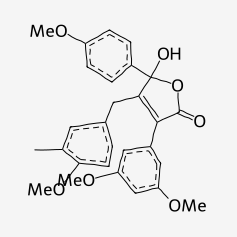 COc1ccc(C2(O)OC(=O)C(c3cc(OC)cc(OC)c3)=C2Cc2ccc(OC)c(C)c2)cc1